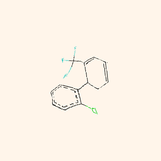 FC(F)(F)C1=C[C]=CCC1c1ccccc1Cl